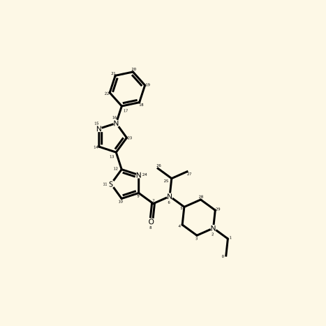 CCN1CCC(N(C(=O)c2csc(-c3cnn(-c4ccccc4)c3)n2)C(C)C)CC1